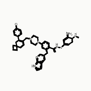 C=C(NSC1=CCC(NC)C(N)=C1)c1ccc(N2CCN(CC3=C(c4ccc(Cl)cc4)CC4(CCC4)CC3)CC2)cc1Cc1cnc2[nH]ccc2c1